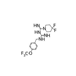 N=C(NCc1ccc(OC(F)(F)F)cc1)NC(=N)N1CCC(F)(F)CC1